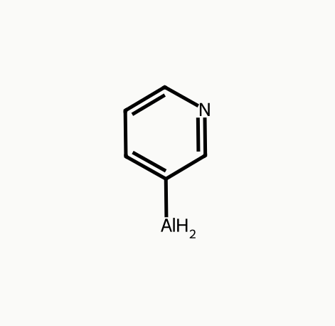 [AlH2][c]1cccnc1